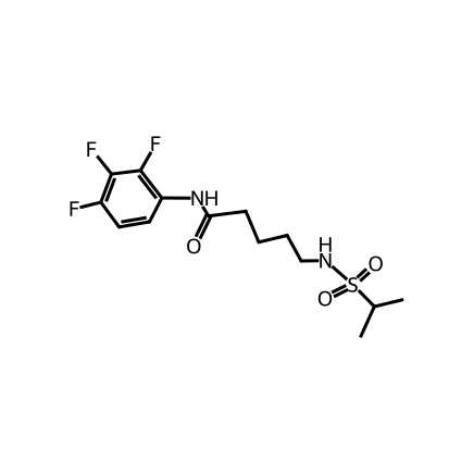 CC(C)S(=O)(=O)NCCCCC(=O)Nc1ccc(F)c(F)c1F